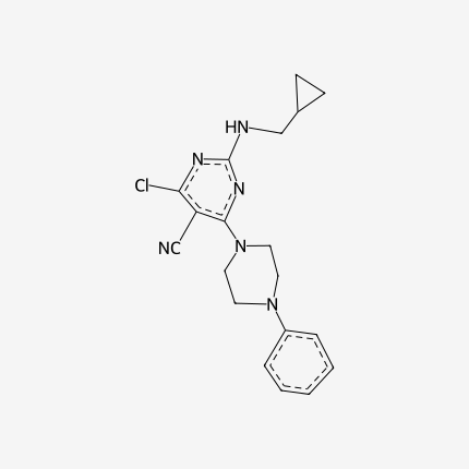 N#Cc1c(Cl)nc(NCC2CC2)nc1N1CCN(c2ccccc2)CC1